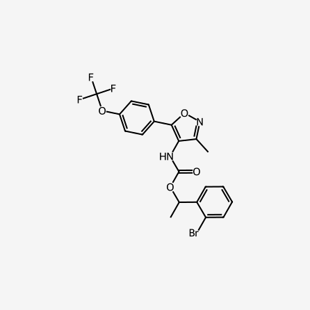 Cc1noc(-c2ccc(OC(F)(F)F)cc2)c1NC(=O)OC(C)c1ccccc1Br